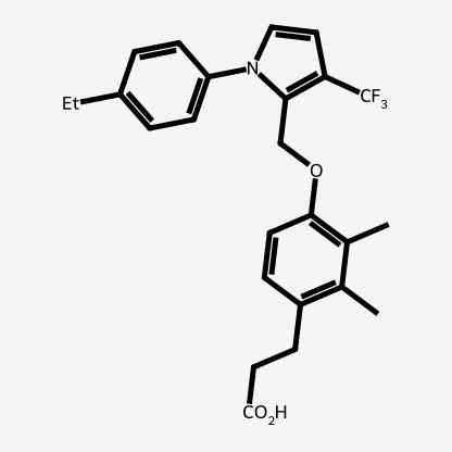 CCc1ccc(-n2ccc(C(F)(F)F)c2COc2ccc(CCC(=O)O)c(C)c2C)cc1